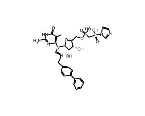 Cc1c(N(/C=N/Cc2ccc(-c3ccccc3)cc2)C2OC(COP(=O)(O)CP(=O)(O)n3ccnc3)[C@H](O)[C@@H]2O)nc(N)[nH]c1=O